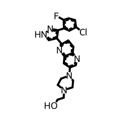 OCCN1CCN(c2cnc3ccc(-c4c[nH]nc4-c4cc(Cl)ccc4F)nc3c2)CC1